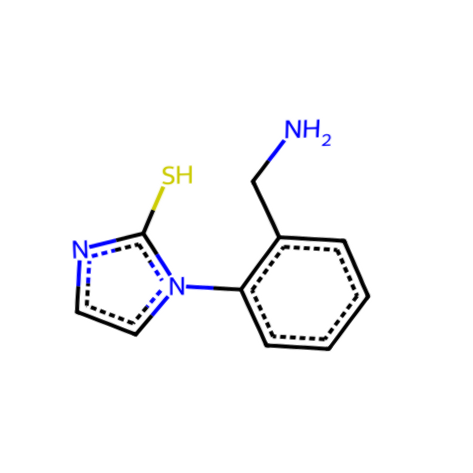 NCc1ccccc1-n1ccnc1S